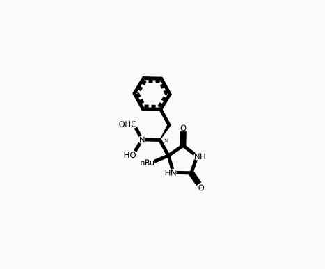 CCCCC1([C@H](Cc2ccccc2)N(O)C=O)NC(=O)NC1=O